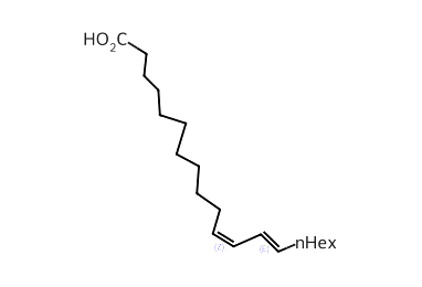 CCCCCC/C=C/C=C\CCCCCCCCCC(=O)O